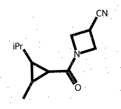 CC(C)C1C(C)C1C(=O)N1CC(C#N)C1